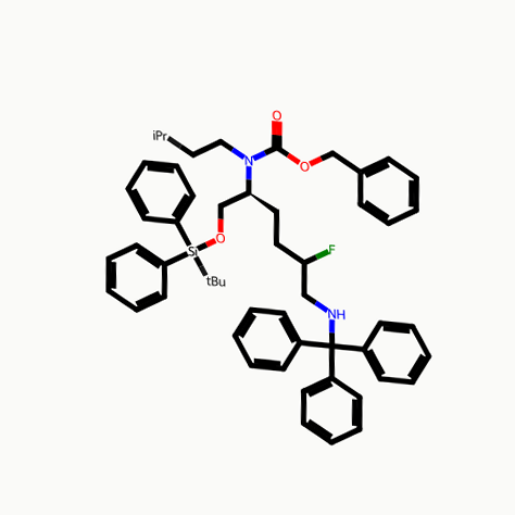 CC(C)CCN(C(=O)OCc1ccccc1)[C@@H](CCC(F)CNC(c1ccccc1)(c1ccccc1)c1ccccc1)CO[Si](c1ccccc1)(c1ccccc1)C(C)(C)C